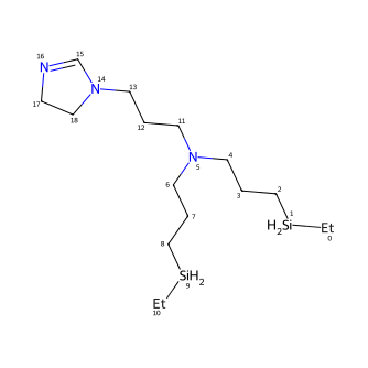 CC[SiH2]CCCN(CCC[SiH2]CC)CCCN1C=NCC1